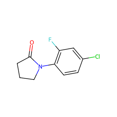 O=C1CCCN1c1ccc(Cl)cc1F